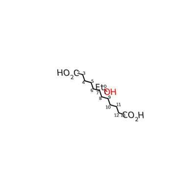 CCO.O=C(O)CCCCCCCCCCC(=O)O